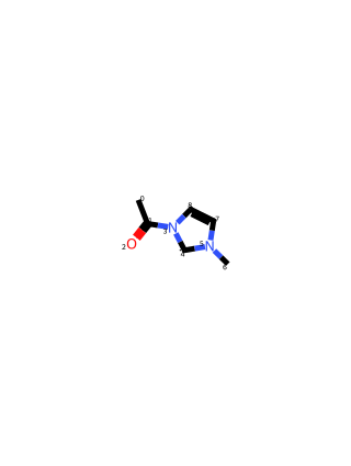 CC(=O)N1[CH]N(C)C=C1